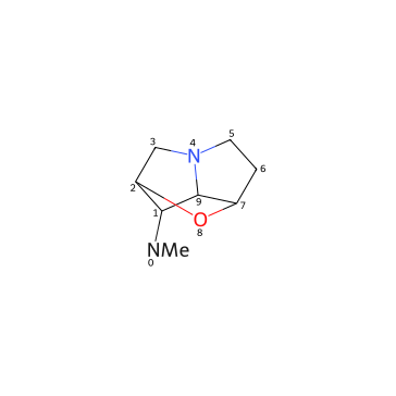 CNC1C2CN3CCC(O2)C13